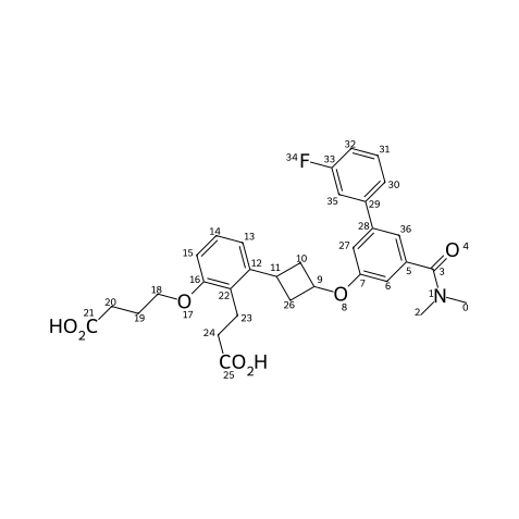 CN(C)C(=O)c1cc(OC2CC(c3cccc(OCCCC(=O)O)c3CCC(=O)O)C2)cc(-c2cccc(F)c2)c1